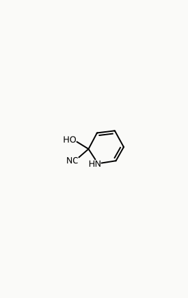 N#CC1(O)C=CC=CN1